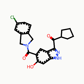 O=C(c1n[nH]c2cc(O)c(C(=O)N3Cc4ccc(Cl)cc4C3)cc12)C1CCCC1